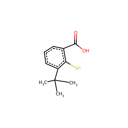 CC(C)(C)c1cccc(C(=O)O)c1S